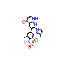 Cc1ccn(-c2nc3[nH]ccc(=O)c3cc2-c2cc(C)c(NS(C)(=O)=O)c(Cl)c2)n1